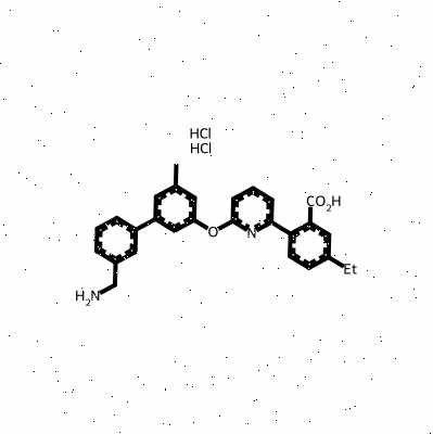 CCc1ccc(-c2cccc(Oc3cc(C)cc(-c4cccc(CN)c4)c3)n2)c(C(=O)O)c1.Cl.Cl